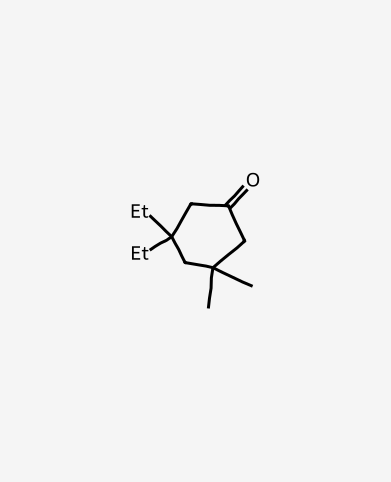 CCC1(CC)CC(=O)CC(C)(C)C1